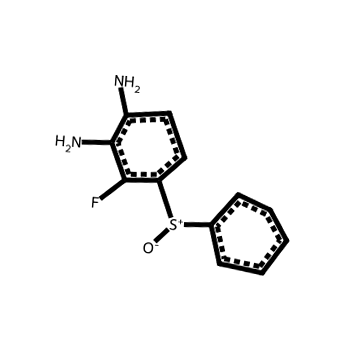 Nc1ccc([S+]([O-])c2ccccc2)c(F)c1N